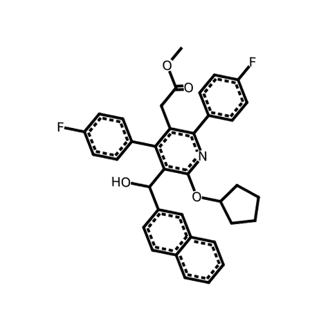 COC(=O)Cc1c(-c2ccc(F)cc2)nc(OC2CCCC2)c(C(O)c2ccc3ccccc3c2)c1-c1ccc(F)cc1